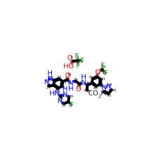 O=C(O)C(F)(F)F.O=C(O)CC(NC(=O)CNC(=O)c1cc(NC2=NCC(F)CN2)c2cn[nH]c2c1)c1cc(OC(F)F)cc(-n2cccn2)c1